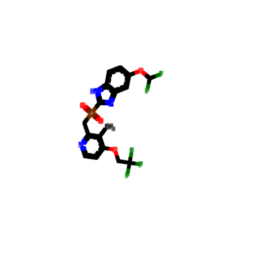 Cc1c(OCC(F)(F)F)ccnc1CS(=O)(=O)c1nc2cc(OC(F)F)ccc2[nH]1